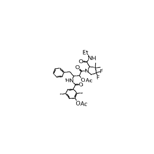 CCNC(=O)C1N(C(=O)C(OC(C)=O)C(Cc2ccccc2)NC(=O)c2cc(C)cc(OC(C)=O)c2C)CC(F)(F)C1(C)C